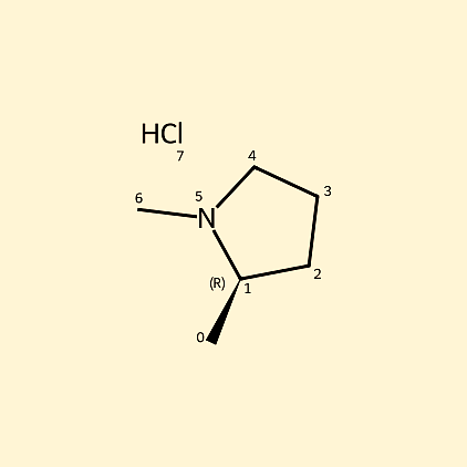 C[C@@H]1CCCN1C.Cl